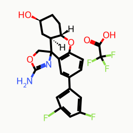 NC1=NC2(CO1)c1cc(-c3cc(F)cc(F)c3)ccc1O[C@H]1CC[C@H](O)C[C@@H]12.O=C(O)C(F)(F)F